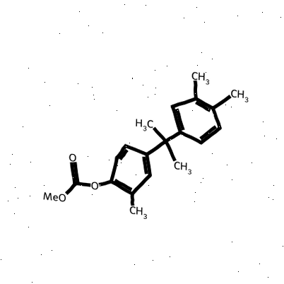 COC(=O)Oc1ccc(C(C)(C)c2ccc(C)c(C)c2)cc1C